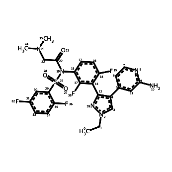 CCn1cc(-c2ccnc(N)c2)c(-c2c(F)ccc(N(C(=O)CN(C)C)S(=O)(=O)c3cc(F)ccc3F)c2F)n1